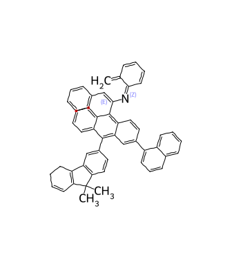 C=C1C=CC=C/C1=N/C(=C/c1ccccc1)c1c2ccccc2c(-c2ccc3c(c2)C2=C(C=CCC2)C3(C)C)c2cc(-c3cccc4ccccc34)ccc12